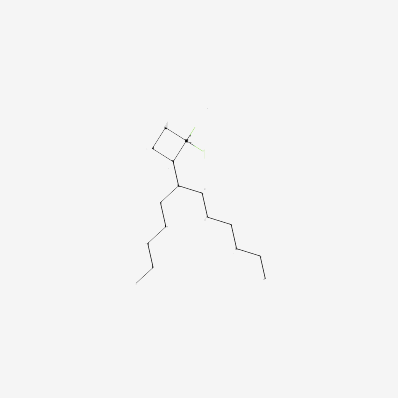 CCCCCCC(CCCCC)C1CCC1(F)F